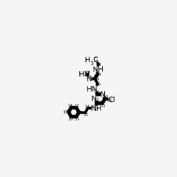 CCN/C=C(/CNc1nc(Cl)cc(NCCc2ccccc2)n1)N=N